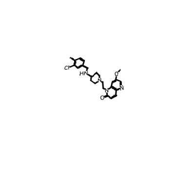 COc1cnc2ccc(=O)n(CCN3CCC(NCc4ccc(C)c(Cl)c4)CC3)c2c1